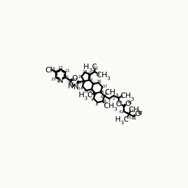 CC(CCC1(C)C(C)CCC2(C)C3CCC4(c5nnc(-c6ccc(Cl)cn6)o5)CCC(C(C)C)=C4C3CCC12)OC(=O)CC(C)(C)C=O